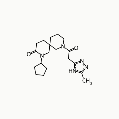 Cc1nnc(CC(=O)N2CCCC3(CCC(=O)N(C4CCCC4)C3)C2)[nH]1